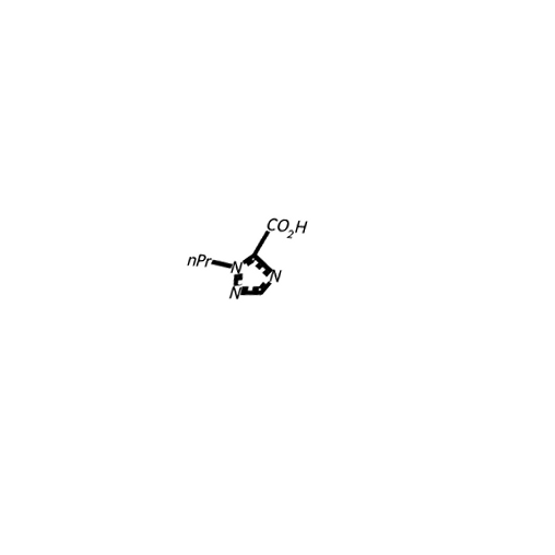 CCCn1ncnc1C(=O)O